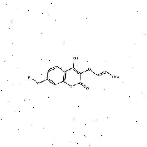 CCCC/C=C/Oc1c(O)c2ccc(OCC)cc2oc1=O